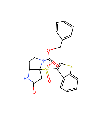 O=C1CC2(S(=O)(=O)c3csc4ccccc34)C(CCN2C(=O)OCc2ccccc2)N1